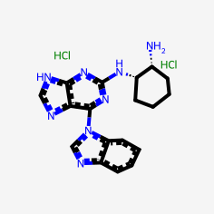 Cl.Cl.N[C@@H]1CCCC[C@@H]1Nc1nc(-n2cnc3ccccc32)c2nc[nH]c2n1